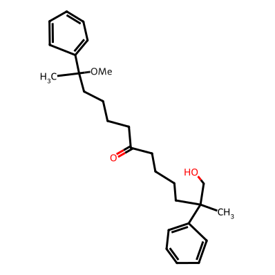 COC(C)(CCCCC(=O)CCCCC(C)(CO)c1ccccc1)c1ccccc1